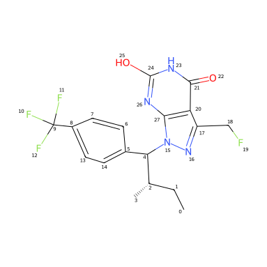 CC[C@H](C)C(c1ccc(C(F)(F)F)cc1)n1nc(CF)c2c(=O)[nH]c(O)nc21